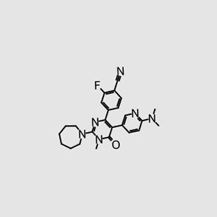 CN(C)c1ccc(-c2c(-c3ccc(C#N)c(F)c3)nc(N3CCCCCC3)n(C)c2=O)cn1